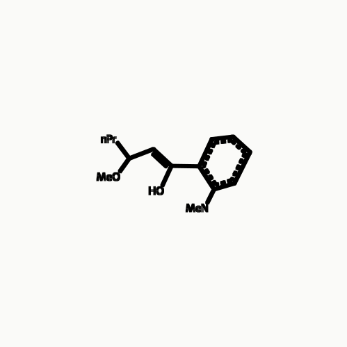 CCCC(/C=C(\O)c1ccccc1NC)OC